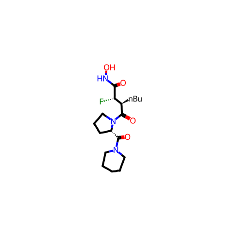 CCCC[C@@H](C(=O)N1CCC[C@H]1C(=O)N1CCCCC1)[C@H](F)C(=O)NO